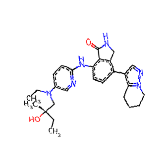 CCN(C[C@@](C)(O)CC)c1ccc(Nc2ccc(-c3cnn4c3CCCC4)c3c2C(=O)NC3)nc1